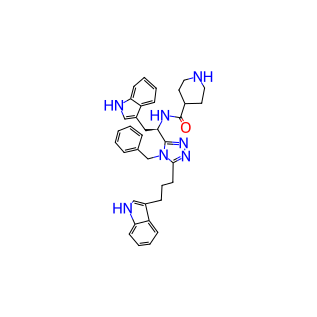 O=C(N[C@H](Cc1c[nH]c2ccccc12)c1nnc(CCCc2c[nH]c3ccccc23)n1Cc1ccccc1)C1CCNCC1